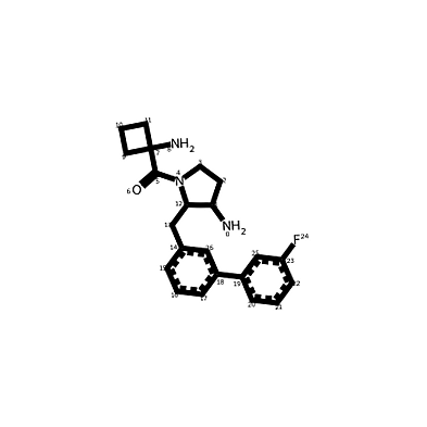 NC1CCN(C(=O)C2(N)CCC2)C1Cc1cccc(-c2cccc(F)c2)c1